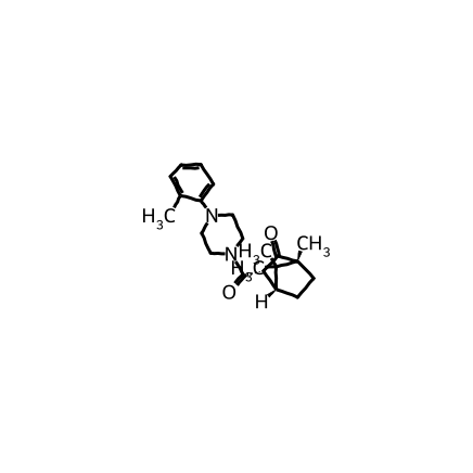 Cc1ccccc1N1CCN(C(=O)[C@@H]2C(=O)[C@]3(C)CC[C@H]2C3(C)C)CC1